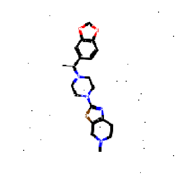 C[C@@H](c1ccc2c(c1)OCO2)N1CCN(c2nc3c(s2)CN(C)CC3)CC1